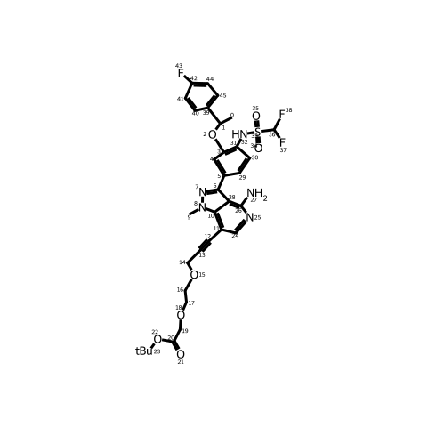 CC(Oc1cc(-c2nn(C)c3c(C#CCOCCOCC(=O)OC(C)(C)C)cnc(N)c23)ccc1NS(=O)(=O)C(F)F)c1ccc(F)cc1